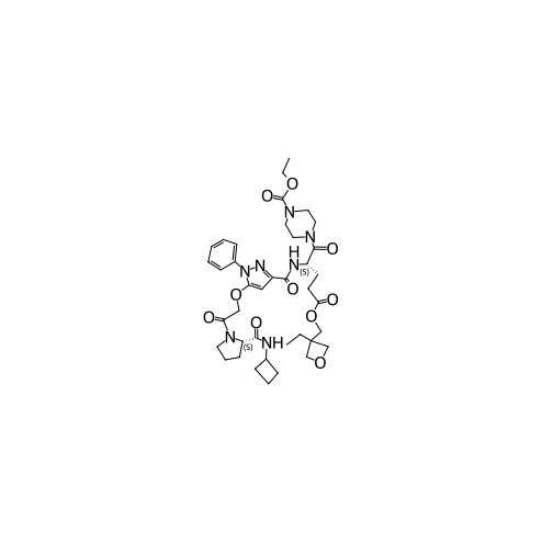 CCOC(=O)N1CCN(C(=O)[C@H](CCC(=O)OCC2(CC)COC2)NC(=O)c2cc(OCC(=O)N3CCC[C@H]3C(=O)NC3CCC3)n(-c3ccccc3)n2)CC1